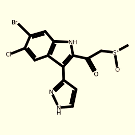 C[S+]([O-])CC(=O)c1[nH]c2cc(Br)c(Cl)cc2c1-c1cc[nH]n1